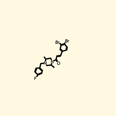 CC1CN(C(=O)C=Cc2ccc(Br)c(Br)c2)C(C)CN1Cc1ccc(F)cc1